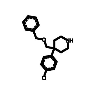 Clc1ccc(C2(COCc3ccccc3)CCNCC2)cc1